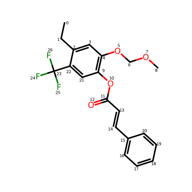 CCc1cc(OCOC)c(OC(=O)C=Cc2ccccc2)cc1C(F)(F)F